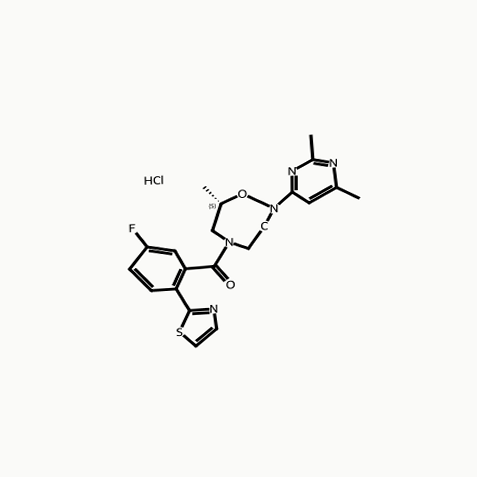 Cc1cc(N2CCN(C(=O)c3cc(F)ccc3-c3nccs3)C[C@H](C)O2)nc(C)n1.Cl